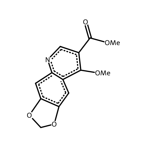 COC(=O)c1cnc2cc3c(cc2c1OC)OCO3